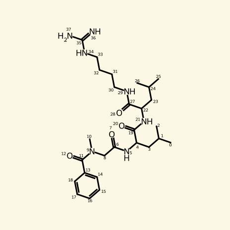 CC(C)CC(NC(=O)CN(C)C(=O)c1ccccc1)C(=O)NC(CC(C)C)C(=O)NCCCCNC(=N)N